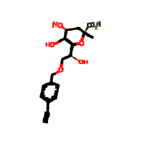 C#Cc1ccc(COC[C@@H](O)C2O[C@@](C)(C(=O)O)C[C@@H](O)C2O)cc1